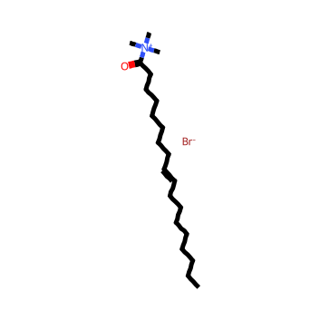 CCCCCCCCC=CCCCCCCCC(=O)[N+](C)(C)C.[Br-]